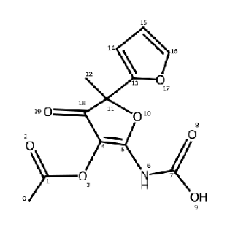 CC(=O)OC1=C(NC(=O)O)OC(C)(c2ccco2)C1=O